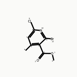 COC(=O)c1c(C)cc(Cl)nc1Br